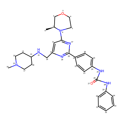 C[C@H]1COCCN1c1cc(CNC2CCN(C)CC2)nc(-c2ccc(NC(=O)Nc3ccccc3)cc2)n1